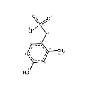 Cc1ccc(CS(=O)(=O)Cl)c(C)c1